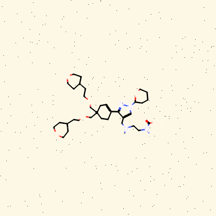 CN(CCN(C)C(=O)O)Cc1cn(C2CCCCO2)nc1C1=CCC(COCCC2CCOCC2)(COCCC2CCOCC2)CC1